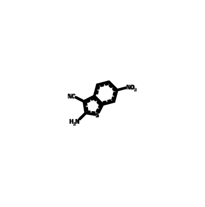 N#Cc1c(N)sc2cc([N+](=O)[O-])ccc12